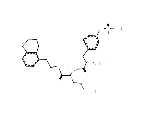 CC(=O)N[C@@H](Cc1ccc(OP(=O)(O)O)cc1)C(=O)N[C@@H](CCC(=O)O)C(=O)NCCc1cccc2c1CCCC2